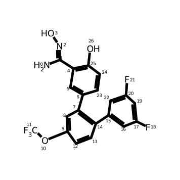 NC(=NO)c1cc(-c2cc(OC(F)(F)F)ccc2-c2cc(F)cc(F)c2)ccc1O